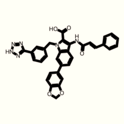 O=C(/C=C/c1ccccc1)Nc1c(C(=O)O)n(Cc2cccc(-c3nn[nH]n3)c2)c2cc(-c3ccc4c(c3)OCO4)ccc12